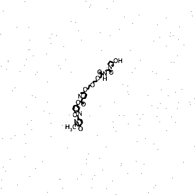 Cn1nc(-c2nc3cc(OC(=O)c4ccc(OCCOCCOCC(=O)NCC(=O)N5CC[C@H](O)C5)cn4)ccc3o2)ccc1=O